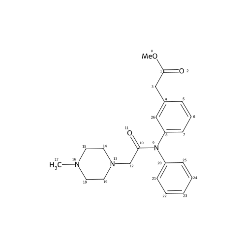 COC(=O)Cc1cccc(N(C(=O)CN2CCN(C)CC2)c2ccccc2)c1